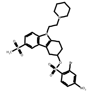 CS(=O)(=O)c1ccc2c(c1)c1c(n2CCN2CCCCC2)CCC(OS(=O)(=O)c2ccc([N+](=O)[O-])cc2Br)C1